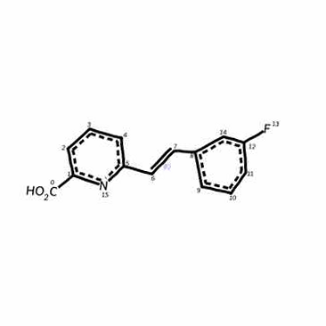 O=C(O)c1cccc(/C=C/c2cccc(F)c2)n1